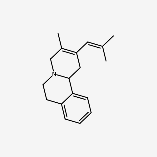 CC(C)=CC1=C(C)CN2CCc3ccccc3C2C1